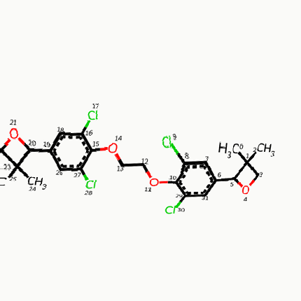 CC1(C)COC1c1cc(Cl)c(OCCOc2c(Cl)cc(C3OCC3(C)C)cc2Cl)c(Cl)c1